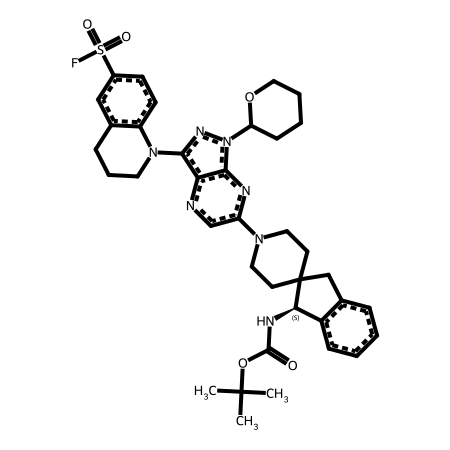 CC(C)(C)OC(=O)N[C@@H]1c2ccccc2CC12CCN(c1cnc3c(N4CCCc5cc(S(=O)(=O)F)ccc54)nn(C4CCCCO4)c3n1)CC2